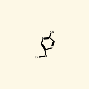 CC(C)(C)Oc1cnc(C#N)cn1